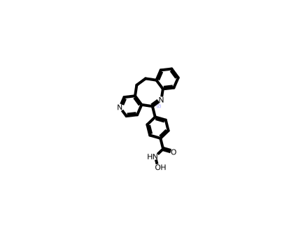 O=C(NO)c1ccc(/C2=N/c3ccccc3CCc3cnccc32)cc1